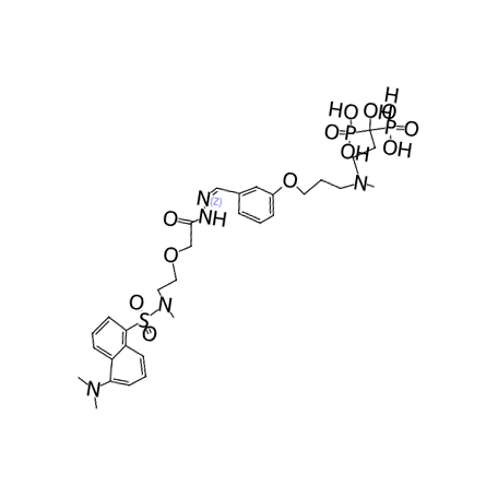 CN(CCCOc1cccc(/C=N\NC(=O)COCCN(C)S(=O)(=O)c2cccc3c(N(C)C)cccc23)c1)CCC(O)(P(=O)(O)O)P(=O)(O)O